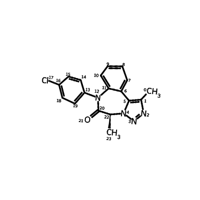 Cc1nnn2c1-c1ccccc1N(c1ccc(Cl)cc1)C(=O)[C@@H]2C